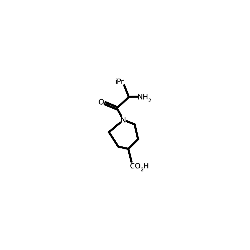 CC(C)C(N)C(=O)N1CCC(C(=O)O)CC1